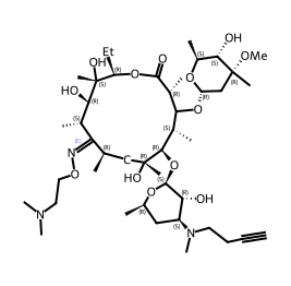 C#CCCN(C)[C@H]1C[C@@H](C)O[C@@H](O[C@@H]2[C@@H](C)C(O[C@H]3C[C@@](C)(OC)[C@@H](O)[C@H](C)O3)[C@@H](C)C(=O)O[C@H](CC)[C@@](C)(O)[C@H](O)[C@@H](C)/C(=N/OCCN(C)C)[C@H](C)C[C@@]2(C)O)[C@@H]1O